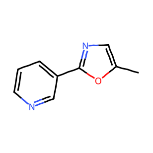 Cc1cnc(-c2cccnc2)o1